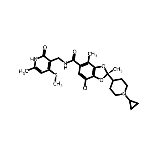 CSc1cc(C)[nH]c(=O)c1CNC(=O)c1cc(Cl)c2c(c1C)O[C@](C)(C1CCN(C3CC3)CC1)O2